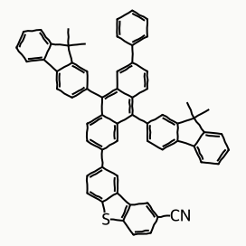 CC1(C)c2ccccc2-c2ccc(-c3c4ccc(-c5ccc6sc7ccc(C#N)cc7c6c5)cc4c(-c4ccc5c(c4)C(C)(C)c4ccccc4-5)c4ccc(-c5ccccc5)cc34)cc21